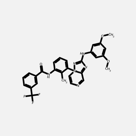 COc1cc(NC2=N[N+]3(c4cccc(NC(=O)c5cccc(C(F)(F)F)c5)c4C)C=CN=CC3=N2)cc(OC)c1